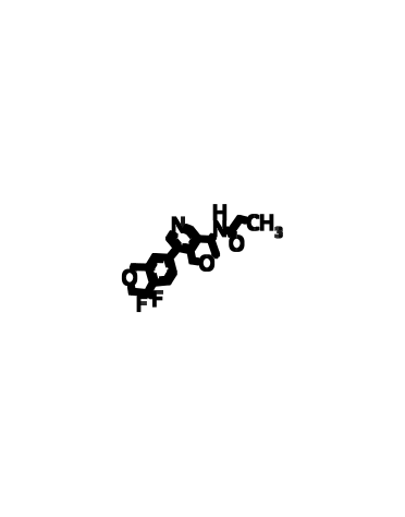 CCC(=O)NC1COCc2c(-c3ccc4c(c3)COCC4(F)F)cncc21